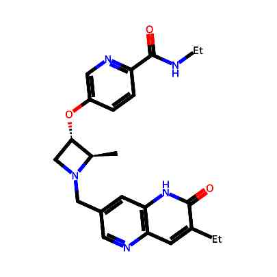 CCNC(=O)c1ccc(O[C@H]2CN(Cc3cnc4cc(CC)c(=O)[nH]c4c3)[C@@H]2C)cn1